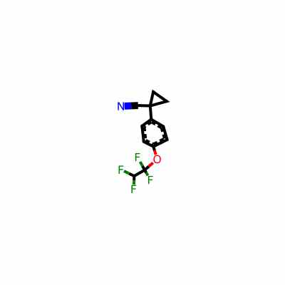 N#CC1(c2ccc(OC(F)(F)C(F)F)cc2)CC1